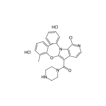 Cc1cccc(C)c1Oc1c(C(=O)N2CCNCC2)c2ccnc(Cl)c2n1-c1ccccc1.Cl.Cl